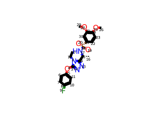 CCn1c(Oc2ccc(F)cc2)nnc1[C@@H](C)NS(=O)(=O)c1ccc(OC)c(OC)c1